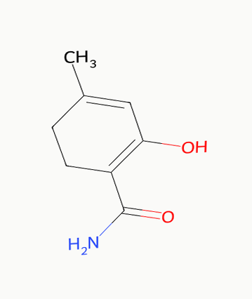 CC1=CC(O)=C(C(N)=O)CC1